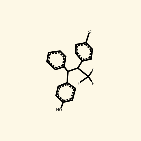 Oc1ccc(C(c2ccccc2)C(c2ccc(Cl)cc2)C(F)(F)F)cc1